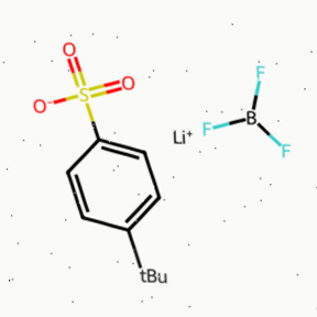 CC(C)(C)c1ccc(S(=O)(=O)[O-])cc1.FB(F)F.[Li+]